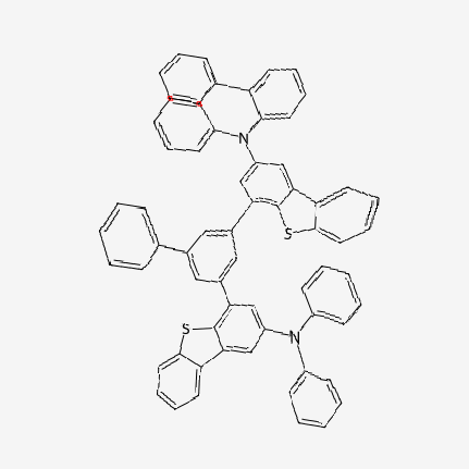 c1ccc(-c2cc(-c3cc(N(c4ccccc4)c4ccccc4)cc4c3sc3ccccc34)cc(-c3cc(N(c4ccccc4)c4ccccc4-c4ccccc4)cc4c3sc3ccccc34)c2)cc1